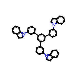 c1cc(-c2cc(-c3cccc(-n4ccc5ccccc54)c3)cc(-c3cccc(-n4ccc5ccccc54)c3)c2)cc(-n2ccc3ccccc32)c1